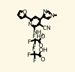 Cn1cnc(-c2cc(-c3ccco3)nc(N)c2C#N)c1.O=C(O)C(F)(F)F.O=C(O)C(F)(F)F